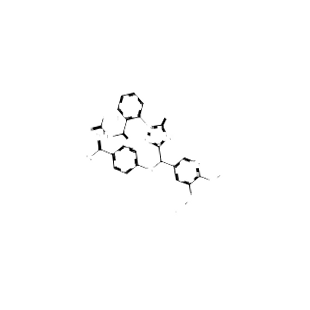 COc1cc(C(Nc2ccc(C(=N)N)cc2)c2nn(-c3ccccc3C(=O)OC(C)=O)c(=O)[nH]2)cnc1OC